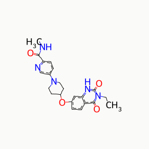 CCn1c(=O)[nH]c2cc(OC3CCN(c4ccc(C(=O)NC)nc4)CC3)ccc2c1=O